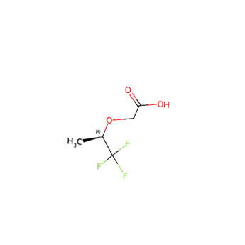 C[C@@H](OCC(=O)O)C(F)(F)F